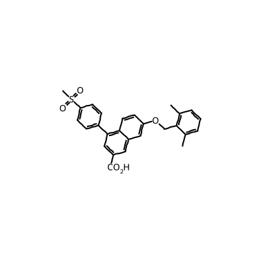 Cc1cccc(C)c1COc1ccc2c(-c3ccc(S(C)(=O)=O)cc3)cc(C(=O)O)cc2c1